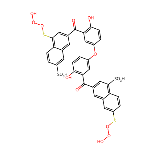 O=C(c1cc(SOOO)c2ccc(S(=O)(=O)O)cc2c1)c1cc(Oc2ccc(O)c(C(=O)c3cc(S(=O)(=O)O)c4ccc(SOOO)cc4c3)c2)ccc1O